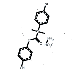 NC(=O)O.[C-]#[N+]c1ccc([N+](C)(C)C(=O)Oc2ccc(C#N)cc2)cc1